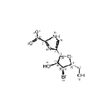 O=[N+]([O-])c1nc([C@@H]2O[C@H](CO)[C@@H](Br)[C@H]2O)c[nH]1